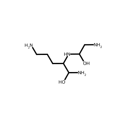 NCCCC(NC(O)CN)C(N)O